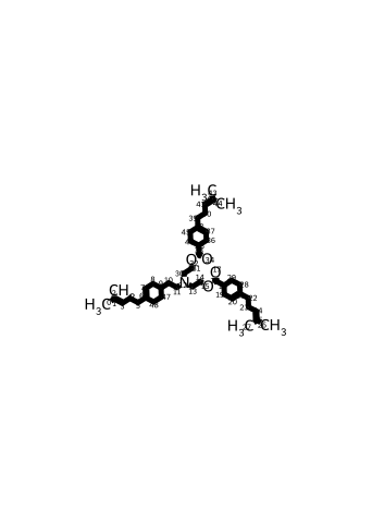 CC(C)=CCCC1=CCC(CCN(CCOC(=O)C2CC=C(CCC=C(C)C)CC2)CCOC(=O)C2CC=C(CCC=C(C)C)CC2)CC1